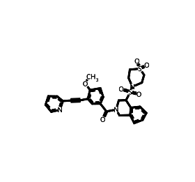 COc1ccc(C(=O)N2Cc3ccccc3C(S(=O)(=O)N3CCS(=O)(=O)CC3)C2)cc1C#Cc1ccccn1